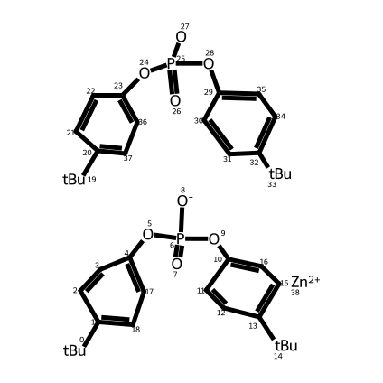 CC(C)(C)c1ccc(OP(=O)([O-])Oc2ccc(C(C)(C)C)cc2)cc1.CC(C)(C)c1ccc(OP(=O)([O-])Oc2ccc(C(C)(C)C)cc2)cc1.[Zn+2]